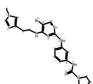 Cn1cnc(CCNc2nc(Nc3cccc(NC(=O)N4CCCC4)c3)ncc2Br)c1